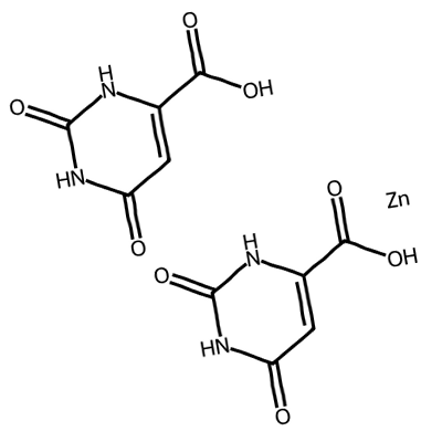 O=C(O)c1cc(=O)[nH]c(=O)[nH]1.O=C(O)c1cc(=O)[nH]c(=O)[nH]1.[Zn]